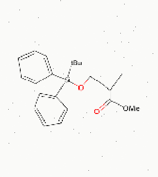 COC(=O)C(C)CO[Si](c1ccccc1)(c1ccccc1)C(C)(C)C